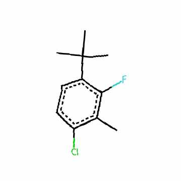 Cc1c(Cl)ccc(C(C)(C)C)c1F